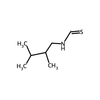 CC(C)C(C)CN[C]=S